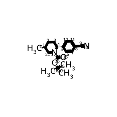 C[C@H]1CC[C@H](c2ccc(C#N)cc2)N(C(=O)OC(C)(C)C)C1